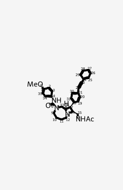 COc1ccc(NC(=O)N2CCCCN3[C@H](CNC(C)=O)[C@H](c4ccc(C#Cc5ccccc5)cc4)[C@@H]3C2)cc1